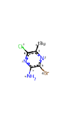 CC(C)(C)c1nc(Br)c(N)nc1Cl